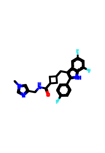 Cn1cnc(CNC(=O)C2CC(Cc3c(-c4ccc(F)cc4)[nH]c4c(F)cc(F)cc34)C2)c1